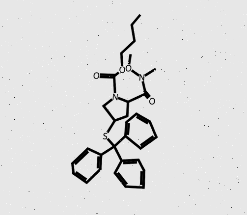 CCCCOC(=O)N1CC(SC(c2ccccc2)(c2ccccc2)c2ccccc2)CC1C(=O)N(C)OC